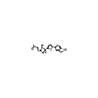 CC(=O)CSc1nnc(-c2ccc(-c3ccc4[nH]ccc4c3)o2)[nH]1